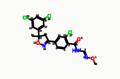 CON=CNC(=O)c1ccc(C2=NOC(C)(c3cc(Cl)cc(Cl)c3)C2)cc1Cl